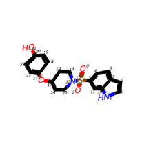 O=S(=O)(c1ccc2cc[nH]c2c1)N1CCC(Oc2ccc(O)cc2)CC1